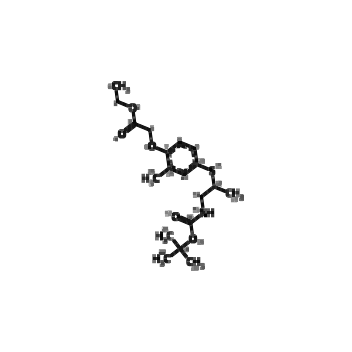 CCOC(=O)COc1ccc(SC(C)CNC(=O)OC(C)(C)C)cc1C